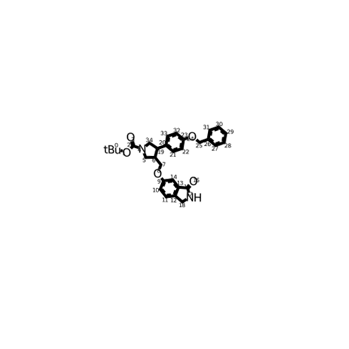 CC(C)(C)OC(=O)N1CC(COc2ccc3c(c2)C(=O)NC3)C(c2ccc(OCc3ccccc3)cc2)C1